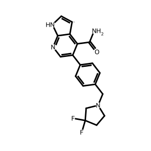 NC(=O)c1c(-c2ccc(CN3CCC(F)(F)C3)cc2)cnc2[nH]c[c]c12